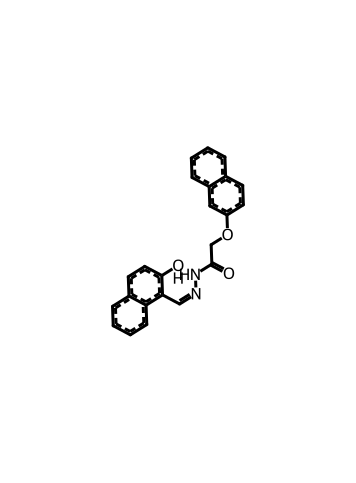 O=C(COc1ccc2ccccc2c1)N/N=C\c1c(O)ccc2ccccc12